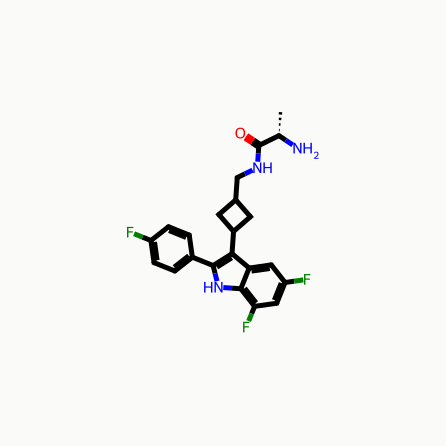 C[C@H](N)C(=O)NCC1CC(c2c(-c3ccc(F)cc3)[nH]c3c(F)cc(F)cc23)C1